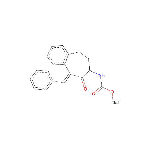 CC(C)(C)OC(=O)NC1CCc2ccccc2/C(=C\c2ccccc2)C1=O